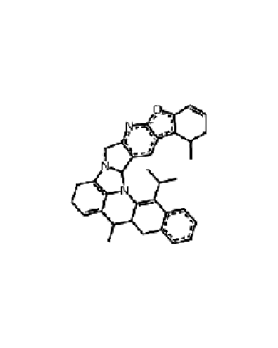 CC(C)C1=C2C(Cc3ccccc31)C(C)C1=CCCC3=C1N2C1c2cc4c5c(oc4nc2CN31)C=CCC5C